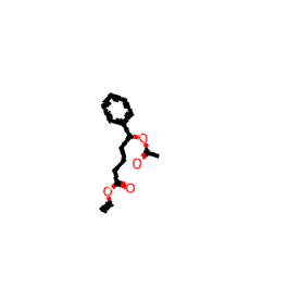 C=COC(=O)CCCC(OC(C)=O)c1ccccc1